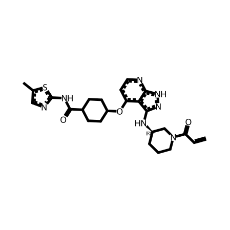 C=CC(=O)N1CCC[C@@H](Nc2n[nH]c3nccc(OC4CCC(C(=O)Nc5ncc(C)s5)CC4)c23)C1